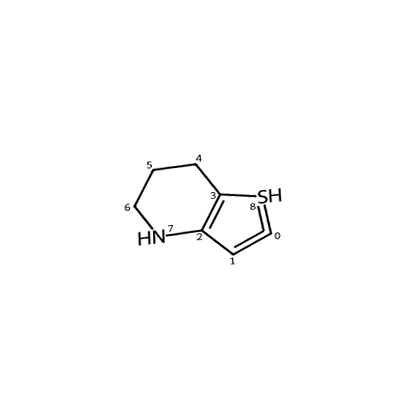 C1=CC2=C(CCCN2)[SH]=1